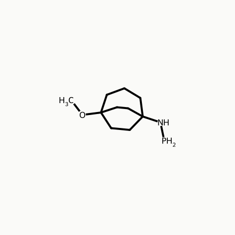 COC12CCCC(NP)(CC1)CC2